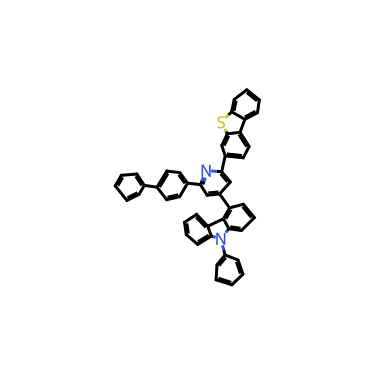 c1ccc(-c2ccc(-c3cc(-c4cccc5c4c4ccccc4n5-c4ccccc4)cc(-c4ccc5c(c4)sc4ccccc45)n3)cc2)cc1